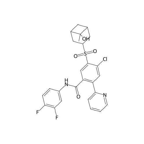 CC1(O)C2CC1CC(S(=O)(=O)c1cc(C(=O)Nc3ccc(F)c(F)c3)c(-c3ccccn3)cc1Cl)C2